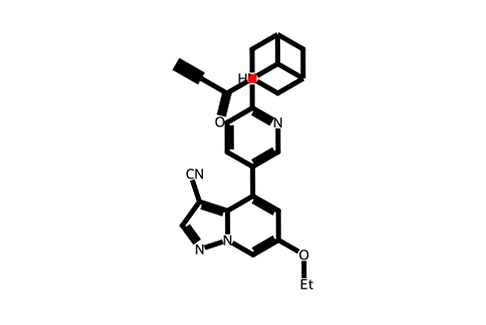 C#CC(=O)N1CC2CC(C1)C2Nc1ccc(-c2cc(OCC)cn3ncc(C#N)c23)cn1